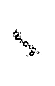 CN1CC(=O)N(CCN2CCC(NCc3ccc4c(n3)NC(=O)CS4)CC2)c2cc(C#N)ccc21